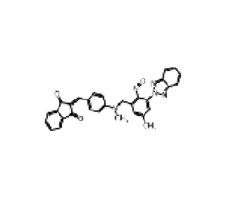 Cc1cc(CN(C)c2ccc(C=C3C(=O)c4ccccc4C3=O)cc2)c(N=O)c(-n2nc3ccccc3n2)c1